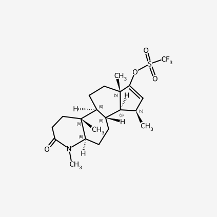 C[C@@H]1C=C(OS(=O)(=O)C(F)(F)F)[C@@]2(C)CC[C@H]3[C@@H](CC[C@H]4N(C)C(=O)CC[C@]34C)[C@H]12